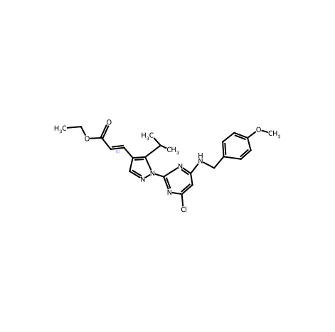 CCOC(=O)/C=C/c1cnn(-c2nc(Cl)cc(NCc3ccc(OC)cc3)n2)c1C(C)C